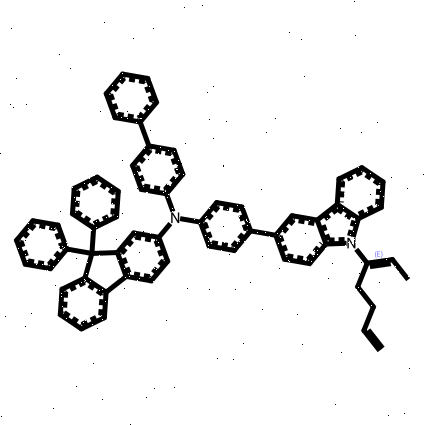 C=CCC/C(=C\C)n1c2ccccc2c2cc(-c3ccc(N(c4ccc(-c5ccccc5)cc4)c4ccc5c(c4)C(c4ccccc4)(c4ccccc4)c4ccccc4-5)cc3)ccc21